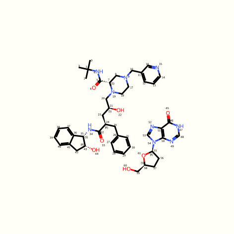 CC(C)(C)NC(=O)[C@@H]1CN(Cc2cccnc2)CCN1C[C@@H](O)C[C@@H](Cc1ccccc1)C(=O)N[C@H]1c2ccccc2C[C@H]1O.O=c1[nH]cnc2c1ncn2[C@H]1CC[C@@H](CO)O1